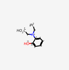 CC(C)CN(CC(=O)O)c1ccccc1O